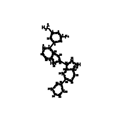 Cc1cc(F)cc(-c2nccc3[nH]c(-c4n[nH]c5ccc(-c6cnccn6)nc45)cc23)c1